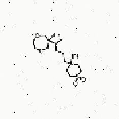 CC(C)C1(CCCC(C)C2(C(C)C)COCCOC2)CCS(=O)(=O)CC1